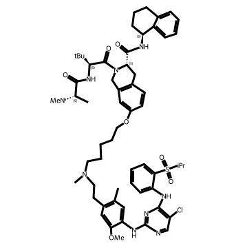 CN[C@@H](C)C(=O)N[C@H](C(=O)N1Cc2cc(OCCCCCN(C)CCc3cc(OC)c(Nc4ncc(Cl)c(Nc5ccccc5S(=O)(=O)C(C)C)n4)cc3C)ccc2C[C@H]1C(=O)N[C@H]1CCCc2ccccc21)C(C)(C)C